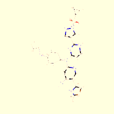 Nc1cc(N(c2ccnc(-c3cnn(S(=O)(=O)C4CC4)c3)n2)C2CCC(NCCF)CC2)ncc1-c1csc(C(F)(F)F)n1